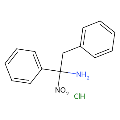 Cl.NC(Cc1ccccc1)(c1ccccc1)[N+](=O)[O-]